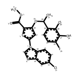 COC(=O)c1sc(-n2cnc3cc(Cl)ccc32)cc1OC(C)c1ccc(F)c(O)c1Cl